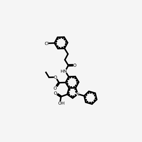 CCOC(=O)c1c(NC(=O)CCc2cccc(Cl)c2)ccc2c1c(C(=O)O)cn2-c1ccccc1